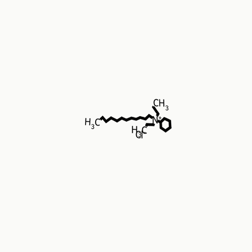 CCCCCCCCCCCC[N+](CCC)(CCC)C1CCCCC1.[Cl-]